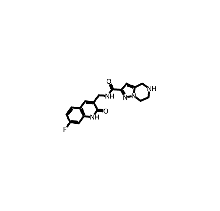 O=C(NCc1cc2ccc(F)cc2[nH]c1=O)c1cc2n(n1)CCNC2